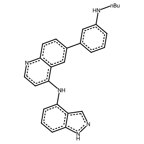 CCCCNc1cccc(-c2ccc3nccc(Nc4cccc5[nH]ncc45)c3c2)c1